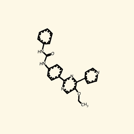 CCOc1cnc(-c2ccc(NC(=O)Nc3ccccc3)cc2)nc1-c1ccncc1